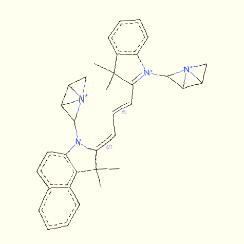 CC1(C)C(/C=C/C=C2\N(C3C4C5C[N+]543)c3ccc4ccccc4c3C2(C)C)=[N+](C2C3C4C[N+]432)c2ccccc21